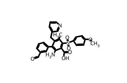 COc1ccc(S(=O)(=O)c2c(C)c(Cc3cccnc3)c(-c3cccc(C=O)c3)c(N)c2C(=O)O)cc1